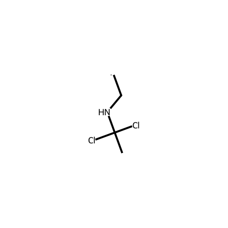 [CH2]CNC(C)(Cl)Cl